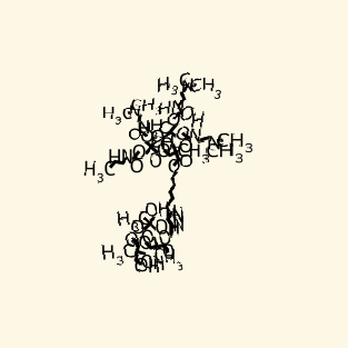 CCCNC(=O)OCC(C)(COC(=O)NCCN(C)C)C(=O)OCC(C)(COC(=O)C(C)(COC(=O)NCCN(C)C)COC(=O)NCCN(C)C)C(=O)OCCCCCCn1cc(COC(=O)C(C)(COC(=O)C(C)(CO)CO)COC(=O)C(C)(CO)CO)nn1